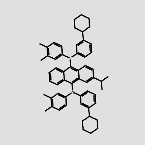 Cc1ccc(N(c2cccc(C3CCCCC3)c2)c2c3ccccc3c(N(c3cccc(C4CCCCC4)c3)c3ccc(C)c(C)c3)c3cc(C(C)C)ccc23)cc1C